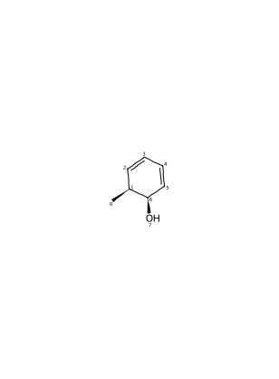 C[C@H]1C=CC=C[C@H]1O